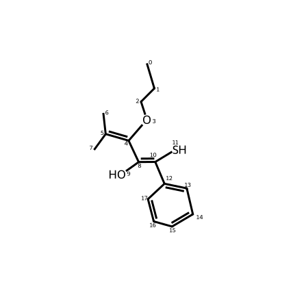 CCCOC(=C(C)C)/C(O)=C(\S)c1ccccc1